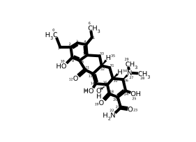 CCc1cc(CC)c2c(c1O)C(=O)C1=C(O)[C@]3(O)C(=O)C(C(N)=O)=C(O)[C@H](N(C)C)[C@H]3C[C@H]1C2